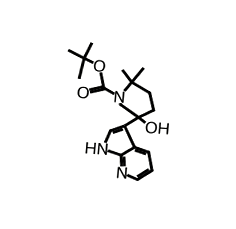 CC(C)(C)OC(=O)N1CC(O)(c2c[nH]c3ncccc23)CCC1(C)C